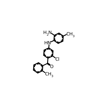 Cc1ccc(Nc2ccc(C(=O)c3ccccc3C)c(Cl)c2)c(N)c1